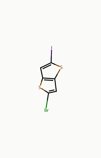 Brc1cc2sc(I)cc2s1